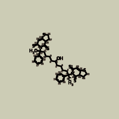 CC(CCCCC(O)CCCCC(C)(c1ccccc1)N1C(=S)C=C2SCCC2C1=S)(c1ccccc1)N1C(=S)C=C2SCCC2C1=S